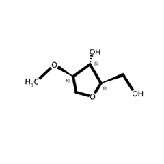 CO[C@@H]1[CH]O[C@H](CO)[C@H]1O